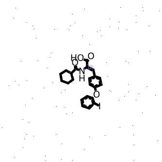 O=C(O)/C(=C/c1ccc(Oc2ccccc2I)cc1)NC(=O)C1CCCCC1